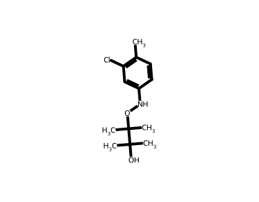 Cc1ccc(NOC(C)(C)C(C)(C)O)cc1Cl